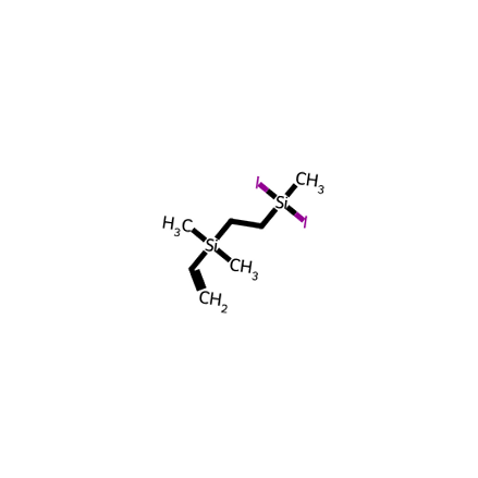 C=C[Si](C)(C)CC[Si](C)(I)I